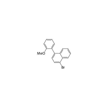 COc1ccccc1-c1ccc(Br)c2ccccc12